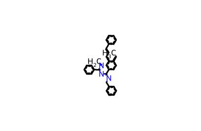 C=N/C(=N\C(=N/Cc1ccccc1)c1ccc(=C/C)/c(=C\C=C\c2ccccc2)c1)c1ccccc1